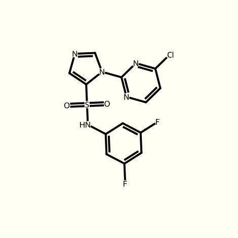 O=S(=O)(Nc1cc(F)cc(F)c1)c1cncn1-c1nccc(Cl)n1